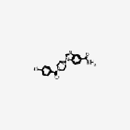 NC(=O)c1ccc2c(c1)ncn2N1CCN(C(=O)c2ccc(Cl)cc2)CC1